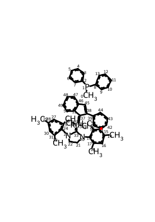 CP(c1ccccc1)c1ccccc1.Cc1cc(C)c(N2CCN(c3c(C)cc(C)cc3C)[C]2=[Ru]([Cl])([Cl])=[C]2C(c3ccccc3)=Cc3ccccc32)c(C)c1